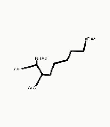 CCCCCCCCCCCCCCCC(OC(C)=O)C(CCC)NC(C)=O